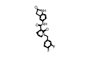 O=C1Cc2cc(NC(=O)c3cccn(Cc4ccc(F)c(F)c4)c3=O)ccc2N1